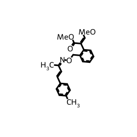 COC=C(C(=O)OC)c1ccccc1CON=C(C)C=Cc1ccc(C)cc1